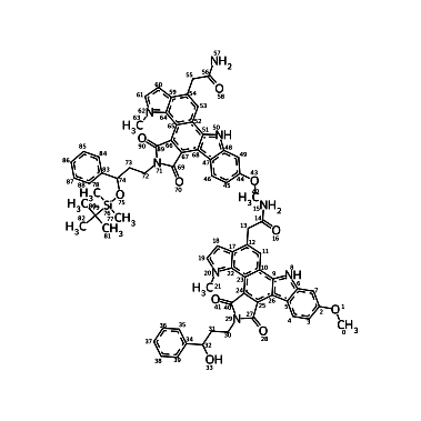 COc1ccc2c(c1)[nH]c1c3cc(CC(N)=O)c4ccn(C)c4c3c3c(c21)C(=O)N(CCC(O)c1ccccc1)C3=O.COc1ccc2c(c1)[nH]c1c3cc(CC(N)=O)c4ccn(C)c4c3c3c(c21)C(=O)N(CCC(O[Si](C)(C)C(C)(C)C)c1ccccc1)C3=O